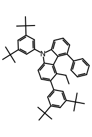 CCc1c(-c2cc(C(C)(C)C)cc(C(C)(C)C)c2)ccc2c1c1c(-c3ccccc3)cccc1n2-c1cc(C(C)(C)C)cc(C(C)(C)C)c1